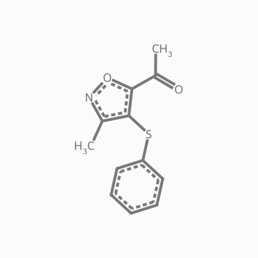 CC(=O)c1onc(C)c1Sc1ccccc1